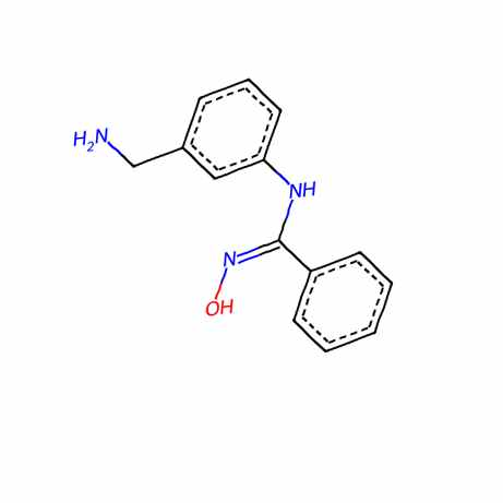 NCc1cccc(NC(=NO)c2ccccc2)c1